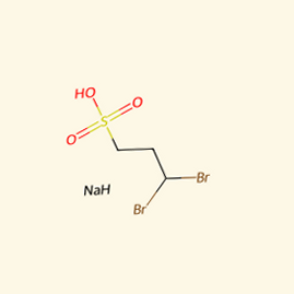 O=S(=O)(O)CCC(Br)Br.[NaH]